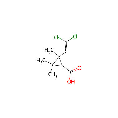 CC1(C)C(C(=O)O)C1(C)C=C(Cl)Cl